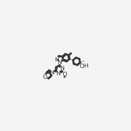 COc1nc(N2CC3CC2CO3)cc(-n2ncc3cc(C)c([C@H]4CC[C@](C)(O)CC4)cc32)n1